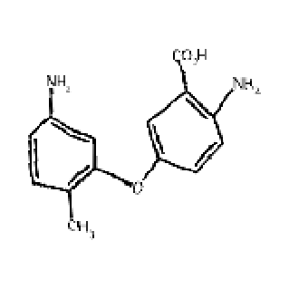 Cc1ccc(N)cc1Oc1ccc(N)c(C(=O)O)c1